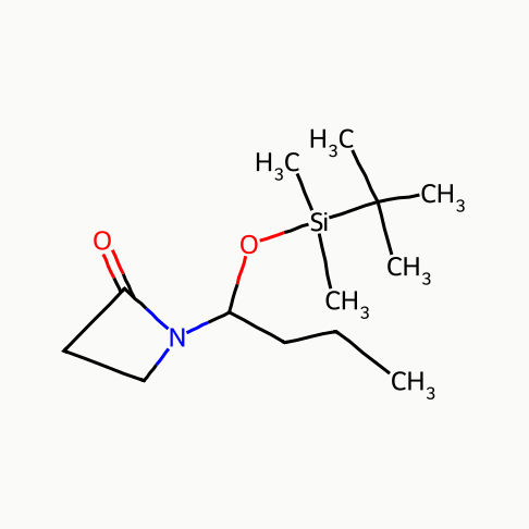 CCCC(O[Si](C)(C)C(C)(C)C)N1CCC1=O